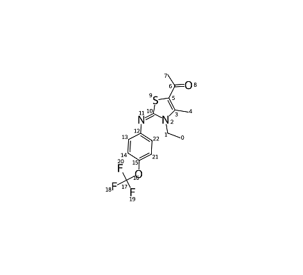 CCn1c(C)c(C(C)=O)s/c1=N/c1ccc(OC(F)(F)F)cc1